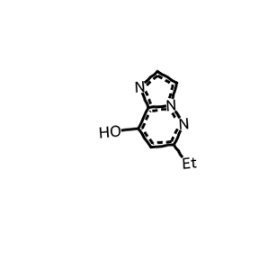 CCc1cc(O)c2nccn2n1